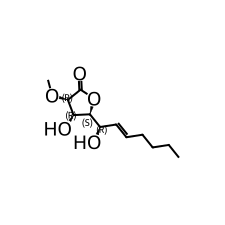 CCCCC=C[C@@H](O)[C@@H]1OC(=O)[C@H](OC)[C@@H]1O